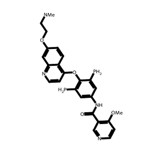 CNCCOc1ccc2c(Oc3c(P)cc(NC(=O)c4cnccc4OC)cc3P)ccnc2c1